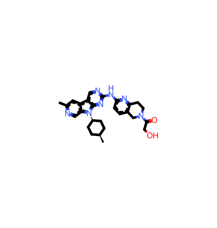 Cc1cc2c3cnc(Nc4ccc5c(n4)CCN(C(=O)CO)C5)nc3n([C@H]3CC[C@H](C)CC3)c2cn1